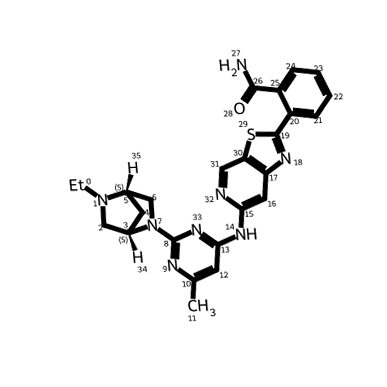 CCN1C[C@@H]2C[C@H]1CN2c1nc(C)cc(Nc2cc3nc(-c4ccccc4C(N)=O)sc3cn2)n1